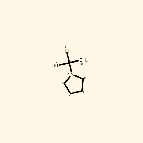 [CH2]C(O)(CC)N1CCCC1